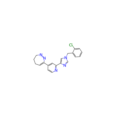 Clc1ccccc1Cn1cnc(-c2cc(C3=CCCCN=N3)ccn2)c1